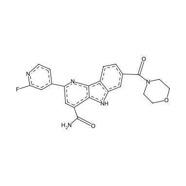 NC(=O)c1cc(-c2ccnc(F)c2)nc2c1[nH]c1cc(C(=O)N3CCOCC3)ccc12